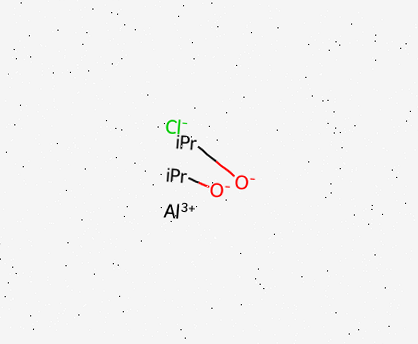 CC(C)[O-].CC(C)[O-].[Al+3].[Cl-]